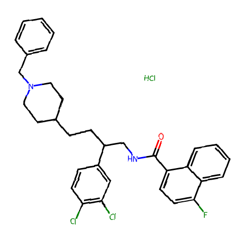 Cl.O=C(NCC(CCC1CCN(Cc2ccccc2)CC1)c1ccc(Cl)c(Cl)c1)c1ccc(F)c2ccccc12